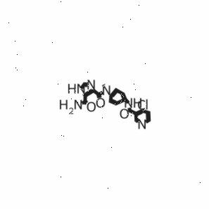 CN(C(=O)c1nc[nH]c1C(N)=O)c1ccc(NC(=O)c2cnccc2Cl)cc1